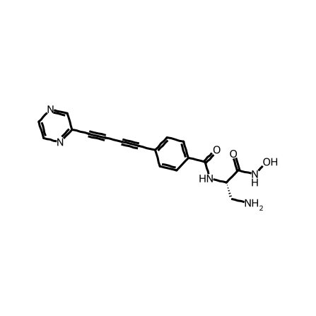 NC[C@H](NC(=O)c1ccc(C#CC#Cc2cnccn2)cc1)C(=O)NO